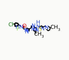 Cc1cn2c(-c3cnn(CC(=O)NCc4ccc(Cl)cc4F)c3)cnc2c(NC2CC(CN3CCCC(C)C3)=NS2)n1